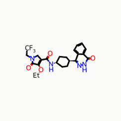 CCOC1=C(C(=O)N[C@H]2CC[C@H](c3n[nH]c(=O)c4ccccc43)CC2)CN(CC(F)(F)F)C1=O